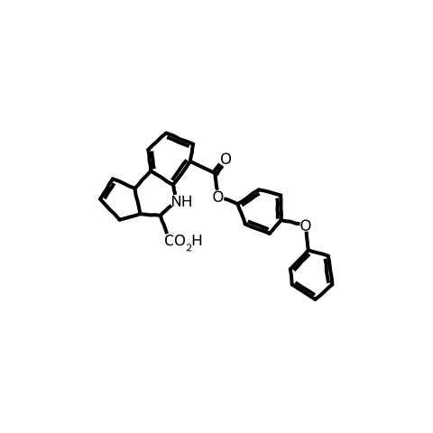 O=C(Oc1ccc(Oc2ccccc2)cc1)c1cccc2c1NC(C(=O)O)C1CC=CC21